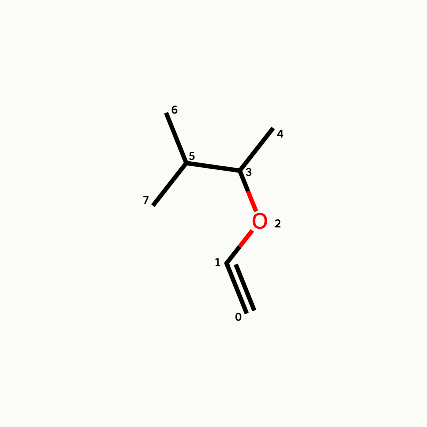 C=COC(C)C(C)C